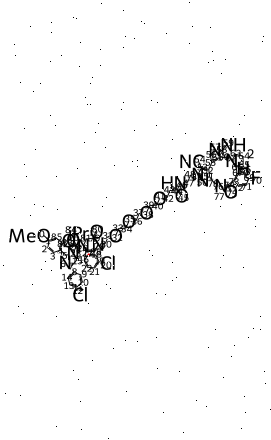 COc1ccc(C2=N[C@@H](c3ccc(Cl)cc3)[C@@H](c3ccc(Cl)cc3)N2C(=O)N2CCN(CCOCCOCCOCCOCCC(=O)NCCn3nc4c(c3C#N)-c3cnc(N)c(c3)N3CCC[C@@H]3c3cc(F)ccc3C(=O)N(C)C4)C(=O)C2)c(OC(C)C)c1